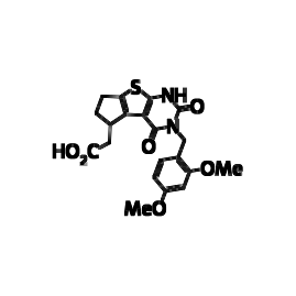 COc1ccc(Cn2c(=O)[nH]c3sc4c(c3c2=O)C(CC(=O)O)CC4)c(OC)c1